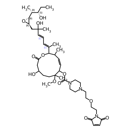 CC[C@H](O)[C@@H](C)[C@H]1O[C@@H]1CC(C)(O)/C=C/C=C(\C)C1OC(=O)CC(O)CCC(C)(OC)C(OC(=O)N2CCN(CCOCCN3C(=O)C=CC3=O)CC2)C=CC1C